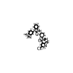 Cn1cnc2cc(-n3c(=O)n(C[C@H]4CC[C@H](NC(=O)c5cc(Cl)cnc5C(F)F)CC4)c4ccccc43)ccc21